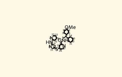 COc1ccc(C(CNC(=O)c2cc(Sc3cnc(Nc4ccccn4)s3)ccn2)c2ccccc2)cc1